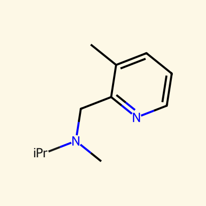 Cc1cccnc1CN(C)C(C)C